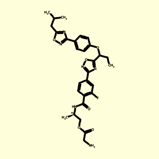 CCC(Oc1ccc(-c2noc(CC(C)C)n2)cc1)c1nc(-c2ccc(C(=O)N[C@H](C)COC(=O)CN)c(F)c2)no1